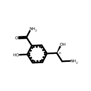 NC[C@H](O)c1ccc(O)c(C(N)=O)c1